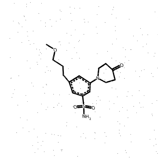 COCCCc1cc(N2CCC(=O)CC2)cc(S(N)(=O)=O)c1